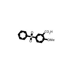 COc1ccc(S(=O)(=O)c2ccccc2)cc1C(=O)O